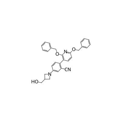 N#Cc1cc(N2CC(CO)C2)ccc1-c1ccc(OCc2ccccc2)nc1OCc1ccccc1